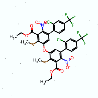 CCOC(=O)c1c(SC)c(Oc2cc(-c3ccc(C(F)(F)F)cc3Cl)c([N+](=O)[O-])c(C(=O)OCC)c2SC)cc(-c2ccc(C(F)(F)F)cc2Cl)c1[N+](=O)[O-]